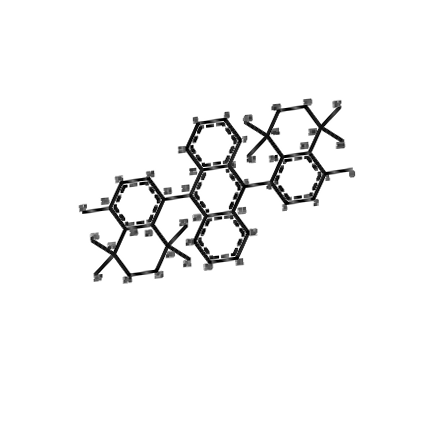 Cc1ccc(-c2c3ccccc3c(-c3ccc(C)c4c3C(C)(C)CCC4(C)C)c3ccccc23)c2c1C(C)(C)CCC2(C)C